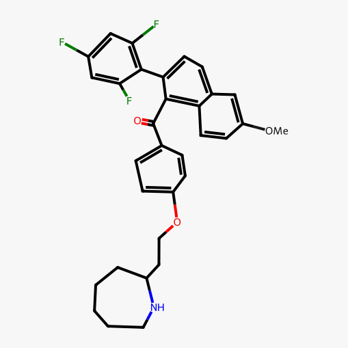 COc1ccc2c(C(=O)c3ccc(OCCC4CCCCCN4)cc3)c(-c3c(F)cc(F)cc3F)ccc2c1